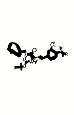 CC(C)(C)OC(=O)N[C@@H](CCc1ccc(C(F)(F)F)c(Cl)c1)C(=O)OCc1ccccc1